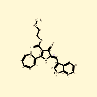 COCCOC(=O)C1=C(C2=CC=CC=CN2)O/C(=C\c2c[nH]c3ncccc23)C1=O